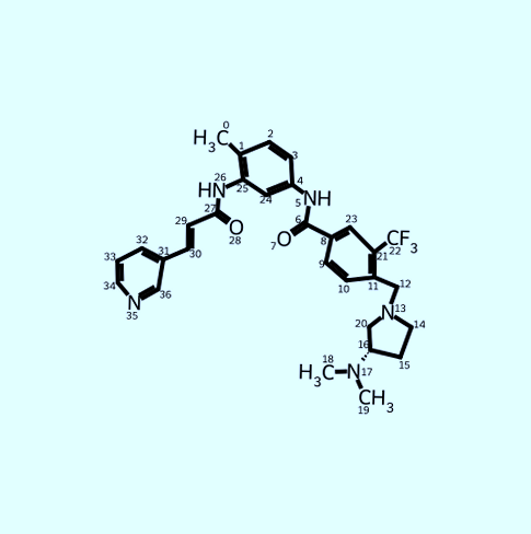 Cc1ccc(NC(=O)c2ccc(CN3CC[C@H](N(C)C)C3)c(C(F)(F)F)c2)cc1NC(=O)C=Cc1cccnc1